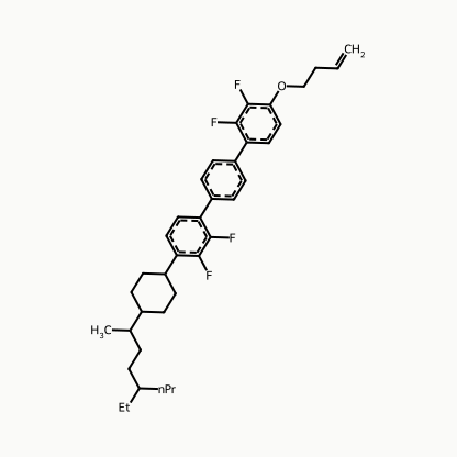 C=CCCOc1ccc(-c2ccc(-c3ccc(C4CCC(C(C)CCC(CC)CCC)CC4)c(F)c3F)cc2)c(F)c1F